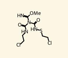 COC(=N)N(C(=O)NCCCl)C(=O)NSCCCl